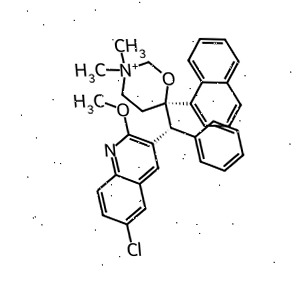 COc1nc2ccc(Cl)cc2cc1[C@@H](c1ccccc1)[C@@]1(c2cccc3ccccc23)CC[N+](C)(C)CO1